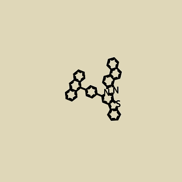 c1ccc2c(-c3ccc(-c4cc5c6ccccc6sc5c5nc6c7ccc8ccccc8c7ccc6n45)cc3)c3ccccc3cc2c1